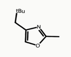 Cc1nc(CC(C)(C)C)co1